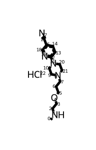 CNCCOCCCN1CCN(c2ccc(C#N)cn2)CC1.Cl